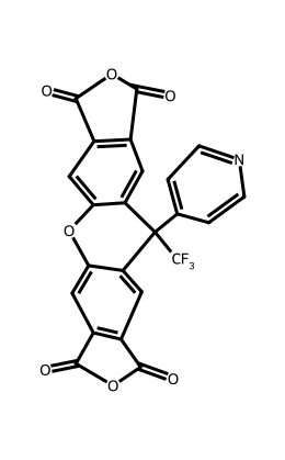 O=C1OC(=O)c2cc3c(cc21)Oc1cc2c(cc1C3(c1ccncc1)C(F)(F)F)C(=O)OC2=O